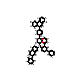 c1ccc(-c2ccc(N(c3ccc(-c4ccc(-c5cc6ccccc6c6ccccc56)cc4)cc3)c3ccc4cc5oc6ccccc6c5cc4c3)c(-c3ccccc3)c2)cc1